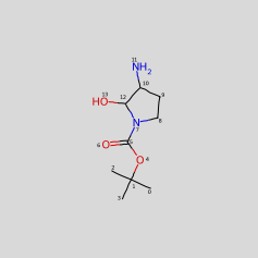 CC(C)(C)OC(=O)N1CCC(N)C1O